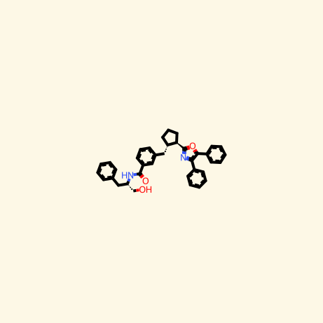 O=C(N[C@H](CO)Cc1ccccc1)c1cccc(C[C@@H]2CCC[C@H]2c2nc(-c3ccccc3)c(-c3ccccc3)o2)c1